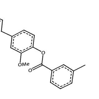 C=CCc1ccc(OC(=O)c2cccc(C)c2)c(OC)c1